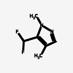 Cc1[c]nn(C)c1C(F)F